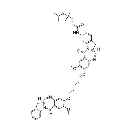 COc1cc2c(cc1OCCCCCOc1cc3c(cc1OC)C(=O)N1c4cc(NC(=O)CCC(C)(C)SC(C)C)ccc4C[C@H]1C=N3)N=C[C@@H]1Cc3ccccc3N1C2=O